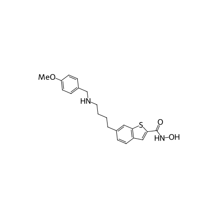 COc1ccc(CNCCCCc2ccc3cc(C(=O)NO)sc3c2)cc1